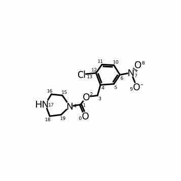 O=C(OCc1cc([N+](=O)[O-])ccc1Cl)N1CCNCC1